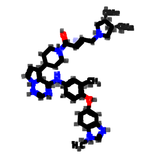 CO[C@H]1CN(C/C=C/C(=O)N2CCC(c3ccn4ncnc(Nc5ccc(Oc6ccc7c(c6)ncn7C)c(C)c5)c34)CC2)C[C@H]1OC